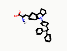 [C-]#[N+]/C(=C\c1ccc2c(c1)C1CCCC1N2c1ccc(C=C(c2ccccc2)c2ccccc2)cc1)C(=O)O